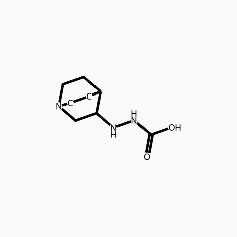 O=C(O)NNC1CN2CCC1CC2